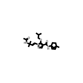 CC(=O)NC(C)(C)/C=C/n1ncc(C(=O)NC23CCC(C)(CC2)C3)c1OCC(C)C